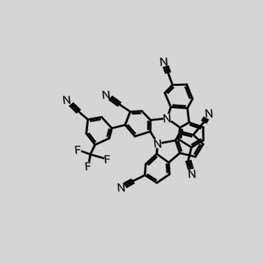 N#Cc1cc(-c2cc(-n3c4cc(C#N)ccc4c4ccc(C#N)cc43)c(-n3c4cc(C#N)ccc4c4ccc(C#N)cc43)cc2C#N)cc(C(F)(F)F)c1